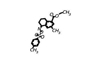 CCOC(=O)c1cc(C)cc2c1CCC/C2=N/OS(=O)(=O)c1ccc(C)cc1